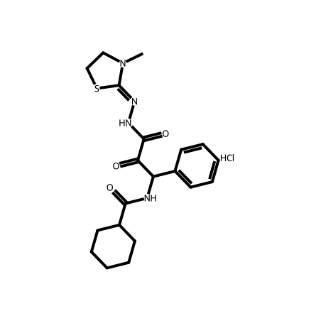 CN1CCSC1=NNC(=O)C(=O)C(NC(=O)C1CCCCC1)c1ccccc1.Cl